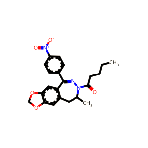 CCCCC(=O)N1N=C(c2ccc([N+](=O)[O-])cc2)c2cc3c(cc2CC1C)OCO3